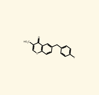 O=C(O)c1coc2ccc(Cc3ccc(F)cc3)cc2c1=O